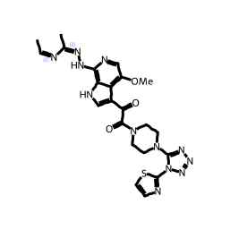 C/C=N\C(C)=N/Nc1ncc(OC)c2c(C(=O)C(=O)N3CCN(c4nnnn4-c4nccs4)CC3)c[nH]c12